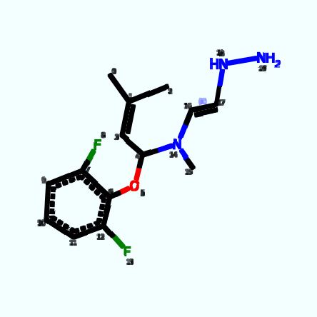 CC(C)=CC(Oc1c(F)cccc1F)N(C)/C=C/NN